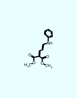 COC(=O)C(=CC=CNc1ccccc1)C(=O)OC